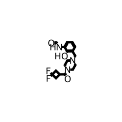 O=CNc1cccc(CN2CCN(C(=O)C3CC(F)(F)C3)CC2)c1O